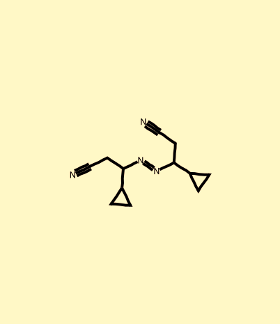 N#CCC(N=NC(CC#N)C1CC1)C1CC1